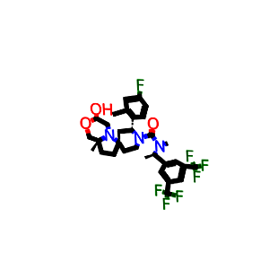 Cc1cc(F)ccc1[C@H]1C[C@@]2(CCN1C(=O)N(C)[C@H](C)c1cc(C(F)(F)F)cc(C(F)(F)F)c1)CC[C@]1(C)COC(O)CN12